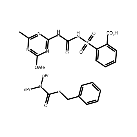 CCCN(CCC)C(=O)SCc1ccccc1.COc1nc(C)nc(NC(=O)NS(=O)(=O)c2ccccc2C(=O)O)n1